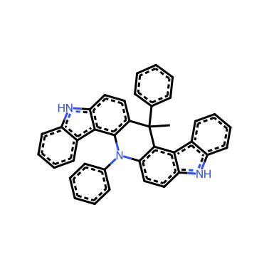 CC1(c2ccccc2)c2ccc3[nH]c4ccccc4c3c2N(c2ccccc2)c2ccc3[nH]c4ccccc4c3c21